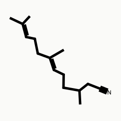 CC(C)=CCC/C(C)=C/CCC(C)CC#N